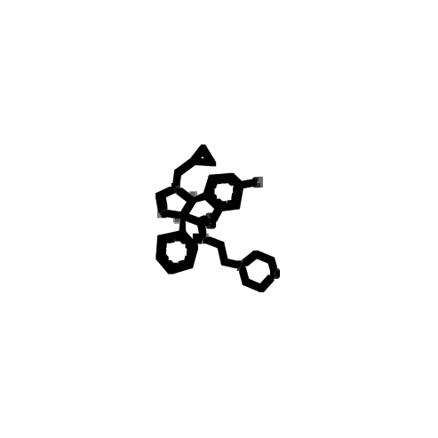 O=C(NCCN1CCOCC1)[C@]1(c2ccccc2)N=CN(CC2CC2)[C@H]1c1ccc(Cl)cc1O